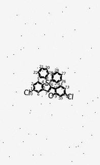 Clc1ccc2c(c1)-c1oc3cc(Cl)ccc3c1[Si]2(c1ccccc1)c1ccccc1